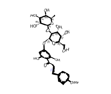 COc1ccc(/C=C/C(=O)c2c(O)cc(O[C@@H]3O[C@H](CO)[C@@H](O)[C@@H](O)[C@@H]3O[C@@H]3O[C@H](C)[C@H](O)[C@H](O)[C@H]3O)cc2O)cc1